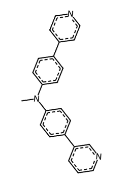 CN(c1ccc(-c2ccncc2)cc1)c1ccc(-c2cccnc2)cc1